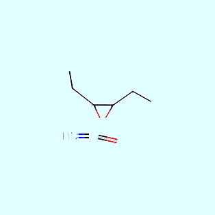 CCC1OC1CC.N=C=O